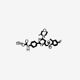 Cc1cc(F)ccc1S(=O)(=O)Cc1cc(N2CCOC[C@@H]2C)nc(-c2ccc(NC(=O)OC(C)(C)C)cc2)n1